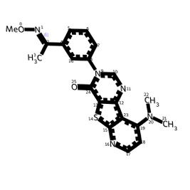 CO/N=C(\C)c1cccc(-n2cnc3c(sc4nccc(N(C)C)c43)c2=O)c1